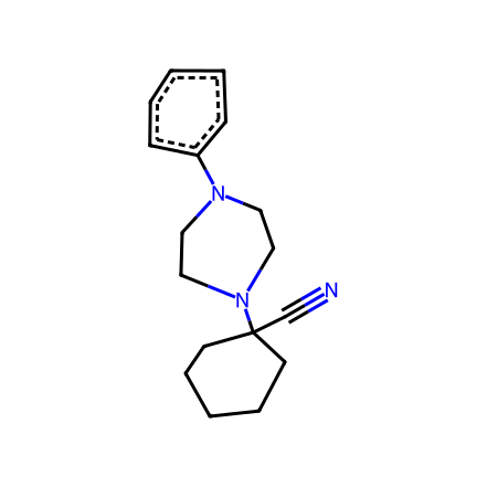 N#CC1(N2CCN(c3ccccc3)CC2)CCCCC1